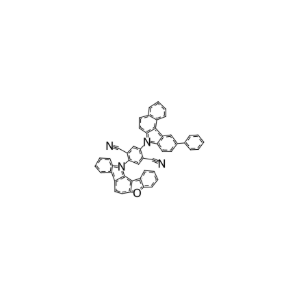 N#Cc1cc(-n2c3ccccc3c3ccc4oc5ccccc5c4c32)c(C#N)cc1-n1c2ccc(-c3ccccc3)cc2c2c3ccccc3ccc21